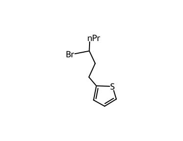 CCCC(Br)CCc1cccs1